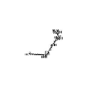 CC(=O)CC[C@H](NC(=O)CC[C@H](NC(=O)COCCOCCNC(=O)COCCOCCNC(=O)CC[C@H](NC(=O)CCCCCCCCCCCCCCC(=O)O)C(=O)O)C(=O)O)C(=O)O